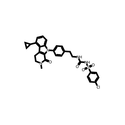 CN1CCc2c(n(-c3ccc(CCNC(=O)NS(=O)(=O)c4ccc(Cl)cc4)cc3)c3cccc(C4CC4)c23)C1=O